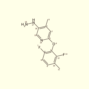 Cc1cc(Oc2c(F)ccc(C)c2F)ncc1NN